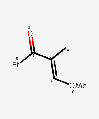 CCC(=O)C(C)=COC